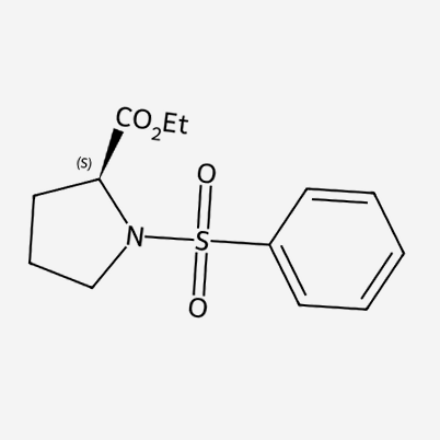 CCOC(=O)[C@@H]1CCCN1S(=O)(=O)c1ccccc1